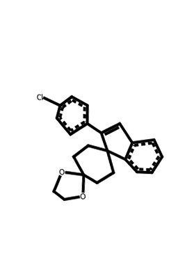 Clc1ccc(C2=Cc3ccccc3C23CCC2(CC3)OCCO2)cc1